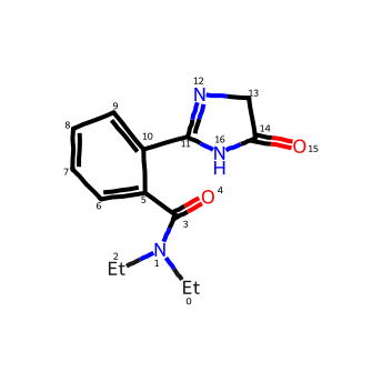 CCN(CC)C(=O)c1ccccc1C1=NCC(=O)N1